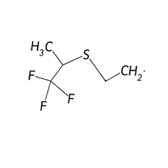 [CH2]CSC(C)C(F)(F)F